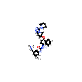 C[C@H]1CCCCN1c1nnc2ccc(OC3CCC(NC(=O)Nc4cc(CN(C)C)cc(C(C)(C)C)c4)c4ccccc43)cn12